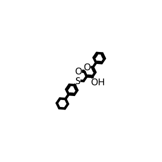 O=c1oc(-c2ccccc2)cc(O)c1CSc1ccc(C2CCCCC2)cc1